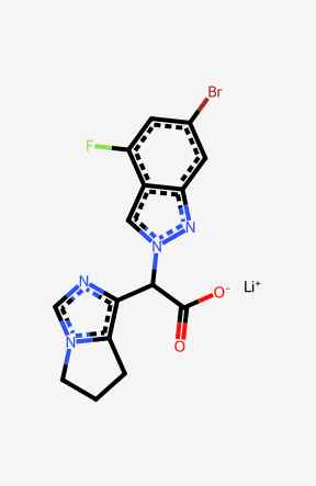 O=C([O-])C(c1ncn2c1CCC2)n1cc2c(F)cc(Br)cc2n1.[Li+]